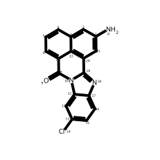 Nc1cc2cccc3c(=O)n4c5cc(Cl)ccc5nc4c(c1)c23